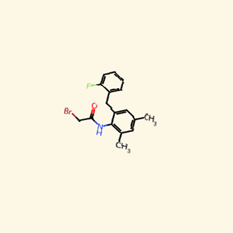 Cc1cc(C)c(NC(=O)CBr)c(Cc2ccccc2F)c1